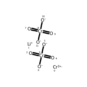 [Cr+3].[Li+].[O]=[Cr](=[O])([O-])[O-].[O]=[Cr](=[O])([O-])[O-]